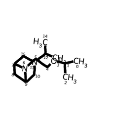 CC(C)OCCN1C2CC1CN(C(C)C)C2